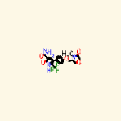 CN1C(=O)COCC1COc1ccc(-c2cc(C(N)=O)c(=O)[nH]c2C(F)(F)F)cc1